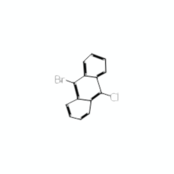 Clc1c2ccccc2c(Br)c2ccccc12